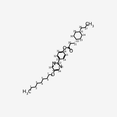 CCCCCCCCOc1cnc(-c2ccc(OC(=O)CC[C@H]3CC[C@H](CCC)CC3)cc2)nc1